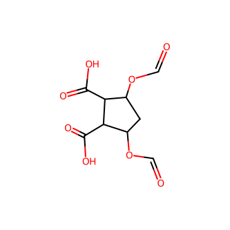 O=COC1CC(OC=O)C(C(=O)O)C1C(=O)O